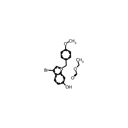 CCOC=O.COc1ccc(Cn2cc(Br)c3ccc(O)cc32)cc1